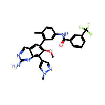 COc1c(-c2cc(NC(=O)c3cccc(C(F)(F)F)c3)ccc2C)cc2cnc(N)nc2c1-c1cnn(C)c1